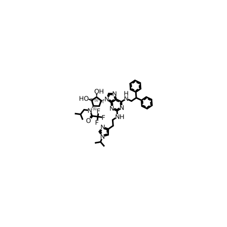 CC(C)CN(C(=O)C(F)(F)F)[C@H]1C[C@@H](n2cnc3c(NCC(c4ccccc4)c4ccccc4)nc(NCCc4cn(C(C)C)cn4)nc32)[C@H](O)[C@@H]1O